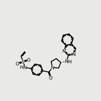 C=CS(=O)(=O)Nc1ccc(C(=O)N2CC[C@H](Nc3ncc4ccccc4n3)C2)cc1